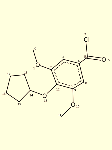 COc1cc(C(=O)Cl)cc(OC)c1OC1CCCC1